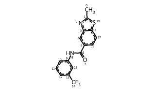 Cc1nc2cc(C(=O)Nc3cccc(C(F)(F)F)c3)ccc2s1